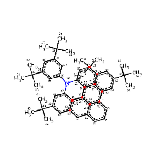 CC(C)(C)c1cc(-c2cccc3cccc(-c4ccccc4N(c4cc(C(C)(C)C)cc(C(C)(C)C)c4)c4cc(C(C)(C)C)ccc4-c4ccccc4)c23)cc(C(C)(C)C)c1